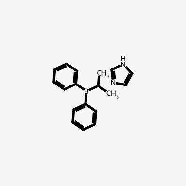 CC(C)B(c1ccccc1)c1ccccc1.c1c[nH]cn1